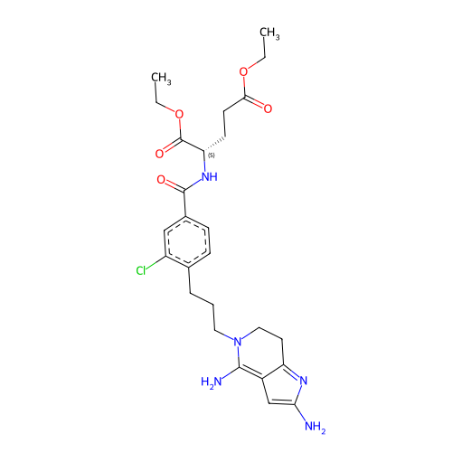 CCOC(=O)CC[C@H](NC(=O)c1ccc(CCCN2CCC3=NC(N)=CC3=C2N)c(Cl)c1)C(=O)OCC